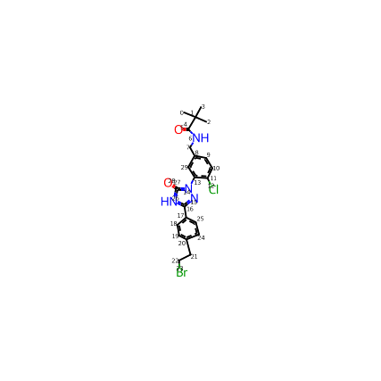 CC(C)(C)C(=O)NCc1ccc(Cl)c(-n2nc(-c3ccc(CCBr)cc3)[nH]c2=O)c1